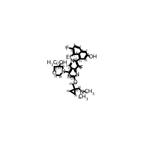 CCc1c(F)ccc2cc(O)cc(-c3ncc4c(N5CCOC[C@@](C)(O)C5)nc(OCC5(CN(C)C)CC5)nc4c3F)c12